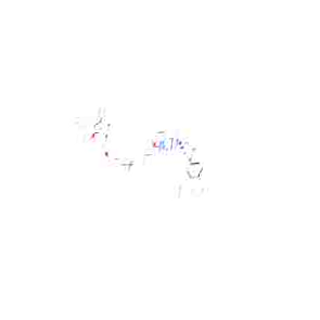 CC(C)C(NC(=O)CCOC(C)(C)CCOC(C)(C)CCN1C(=O)C(Br)=C(Br)C1=O)C(=O)N[C@@H](C)C(=O)Nc1ccc(CO)cc1